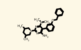 CC1CC(C)CN(c2nc(N)c(-c3cccc(OCc4ccccc4)c3)c(N(C)C)n2)C1